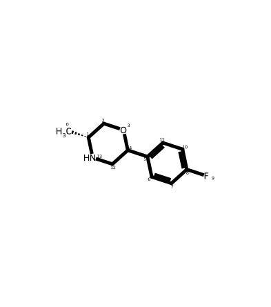 C[C@@H]1COC(c2ccc(F)cc2)CN1